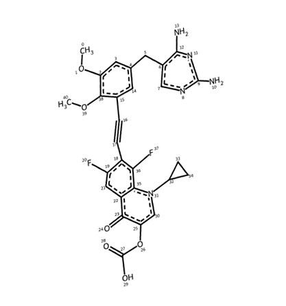 COc1cc(Cc2cnc(N)nc2N)cc(C#Cc2c(F)cc3c(=O)c(OC(=O)O)cn(C4CC4)c3c2F)c1OC